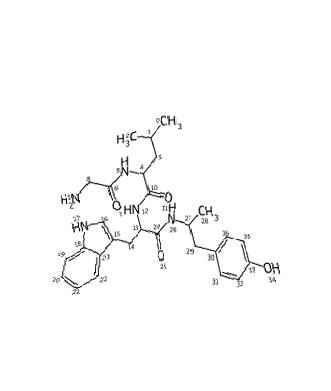 CC(C)CC(NC(=O)CN)C(=O)NC(Cc1c[nH]c2ccccc12)C(=O)NC(C)Cc1ccc(O)cc1